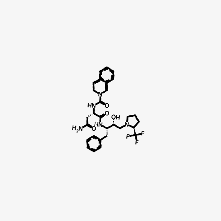 NC(=O)C[C@H](NC(=O)N1C=c2ccccc2=CC1)C(=O)N[C@@H](Cc1ccccc1)[C@H](O)CN1CCC[C@H]1C(F)(F)F